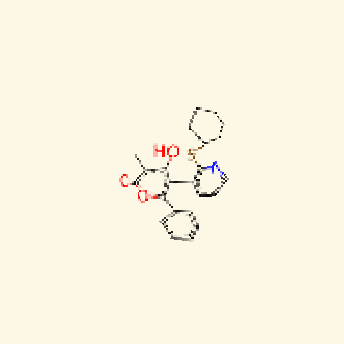 Cc1c(O)c(-c2cccnc2SC2CCCCC2)c(-c2ccccc2)oc1=O